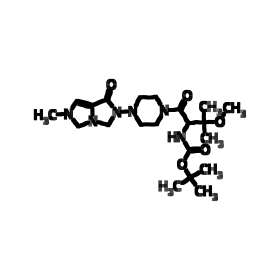 COC(C)(C)C(NC(=O)OC(C)(C)C)C(=O)N1CCN(N2CN3CN(C)C=C3C2=O)CC1